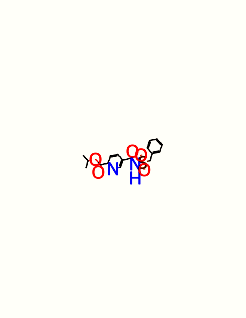 CC(C)OC(=O)c1ccc(C(=O)NS(=O)(=O)Cc2ccccc2)cn1